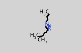 C/C=C/CCn1cc(CCCC(C)C)nn1